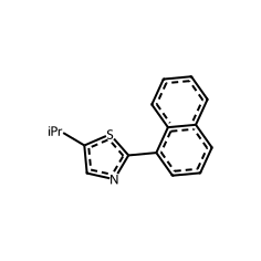 CC(C)c1cnc(-c2cccc3ccccc23)s1